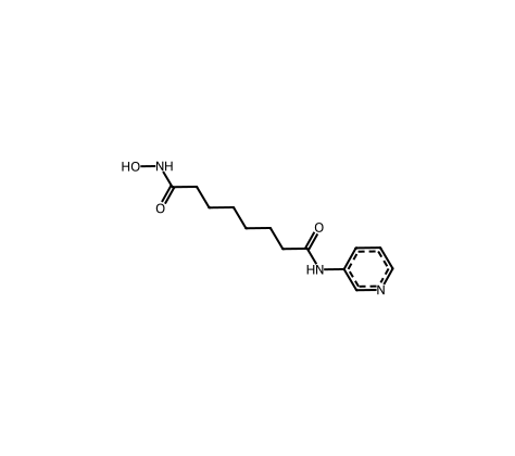 O=C(CCCCCCC(=O)Nc1cccnc1)NO